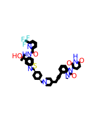 Cn1c(=O)n(C2CCC(=O)NC2=O)c2cccc(C#CCC3CCN(C[C@H]4CC[C@H](c5nc6cc(C(C)(C)O)c(NC(=O)c7cccc(C(F)(F)F)n7)cc6s5)CC4)CC3)c21